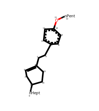 CCCCCCCC1CC=C(CCc2ccc(OCCCCC)cc2)CC1